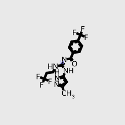 Cc1cc(N/C(=N\C(=O)c2ccc(C(F)(F)F)cc2)NCCC(F)(F)F)[nH]n1